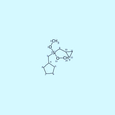 CO[Si](CC1CCCC1)(CC1CC1)OC